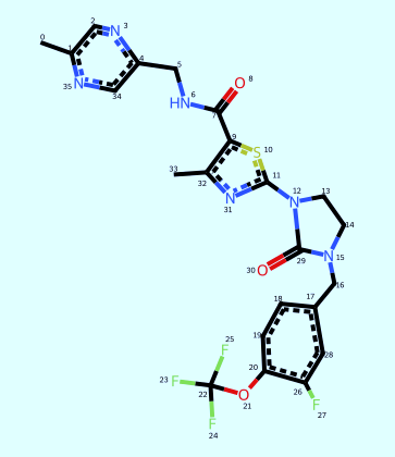 Cc1cnc(CNC(=O)c2sc(N3CCN(Cc4ccc(OC(F)(F)F)c(F)c4)C3=O)nc2C)cn1